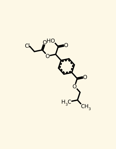 CC(C)COC(=O)c1ccc(C(OC(=O)CCl)C(=O)O)cc1